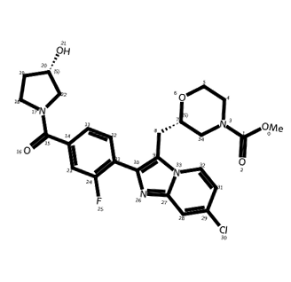 COC(=O)N1CCO[C@@H](Cc2c(-c3ccc(C(=O)N4CC[C@H](O)C4)cc3F)nc3cc(Cl)ccn23)C1